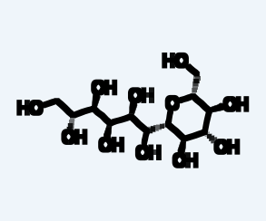 OC[C@@H](O)[C@@H](O)[C@H](O)[C@@H](O)C(O)[C@@H]1O[C@H](CO)[C@@H](O)[C@H](O)[C@H]1O